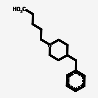 O=C(O)CCCCN1CCC(Cc2ccccc2)CC1